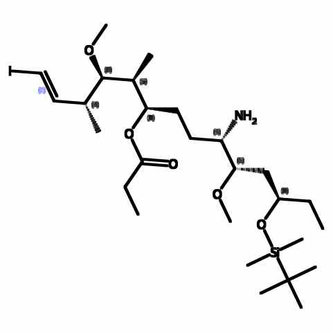 CCC(=O)O[C@H](CC[C@H](N)[C@H](C[C@@H](CC)O[Si](C)(C)C(C)(C)C)OC)[C@H](C)[C@H](OC)[C@H](C)/C=C/I